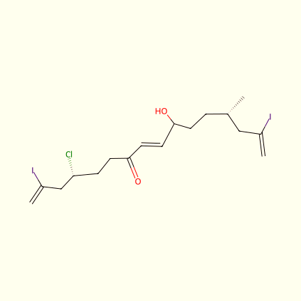 C=C(I)C[C@@H](C)CCC(O)/C=C/C(=O)CC[C@@H](Cl)CC(=C)I